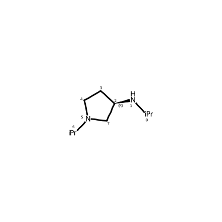 CC(C)N[C@@H]1CCN(C(C)C)C1